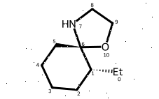 CC[C@@H]1CCCC[C@]12NCCO2